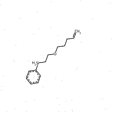 C=CCCCOCC[SiH2]c1ccccc1